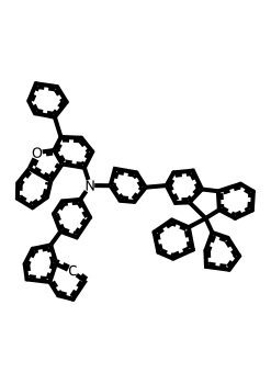 c1ccc(-c2ccc(N(c3ccc(-c4ccc5c(c4)C(c4ccccc4)(c4ccccc4)c4ccccc4-5)cc3)c3ccc(-c4cccc5ccccc45)cc3)c3c2oc2ccccc23)cc1